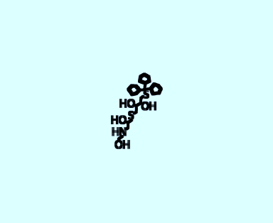 OCCNCC(O)CSCC(O)C(O)CSC(c1ccccc1)(c1ccccc1)c1ccccc1